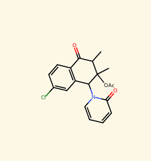 CC(=O)OC1(C)C(C)C(=O)c2ccc(Cl)cc2C1n1ccccc1=O